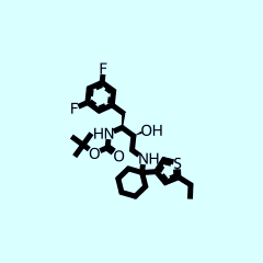 CCc1cc(C2(NC[C@@H](O)[C@H](Cc3cc(F)cc(F)c3)NC(=O)OC(C)(C)C)CCCCC2)cs1